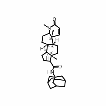 CN1C(=O)C=C[C@@]2(C)C1CC[C@@H]1[C@H]2CC[C@]2(C)C(C(=O)NC34CC5CC(CC(C5)C3)C4)CC[C@@H]12